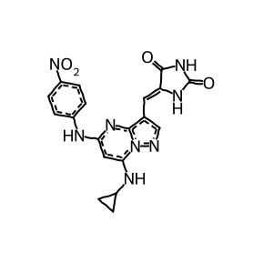 O=C1NC(=O)C(=Cc2cnn3c(NC4CC4)cc(Nc4ccc([N+](=O)[O-])cc4)nc23)N1